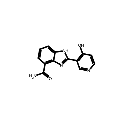 NC(=O)c1cccc2[nH]c(-c3cnccc3O)nc12